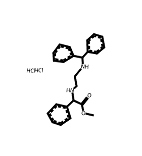 COC(=O)C(NCCNC(c1ccccc1)c1ccccc1)c1ccccc1.Cl.Cl